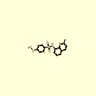 Cc1ccc2cccc(NS(=O)(=O)c3ccc(OC(C)C)cc3)c2n1